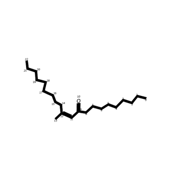 CCCCCCCCCC(=O)/C=C(/C)CCCCCCCCC